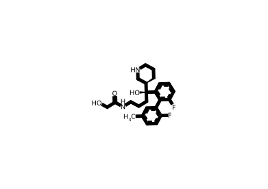 Cc1ccc(F)c(-c2c(F)cccc2[C@](O)(CCCNC(=O)CO)[C@@H]2CCCNC2)c1